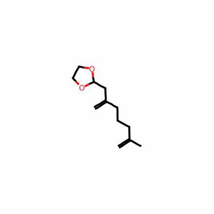 C=C(C)CCCC(=C)CC1OCCO1